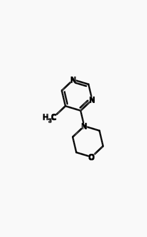 Cc1cncnc1N1CCOCC1